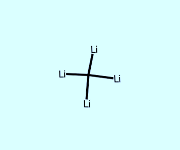 [Li][C]([Li])([Li])[Li]